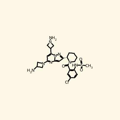 CS(=O)(=O)Nc1ccc(Cl)cc1C(=O)N1CCCC[C@H]1c1cc2nc(N3CC(N)C3)cc(C3CN(N)C3)n2n1